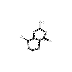 O=Cc1nc2c(O)cccc2c(=O)[nH]1